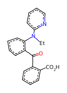 CCN(c1ccccn1)c1ccccc1C(=O)c1ccccc1C(=O)O